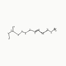 CCC(C)CCCCC=CCCCBr